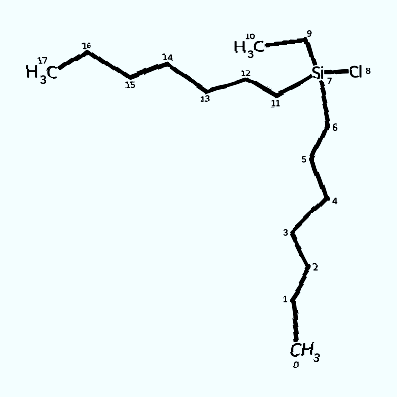 CCCCCCC[Si](Cl)(CC)CCCCCCC